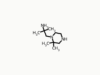 CC(C)(N)CN1CCNCC1(C)C